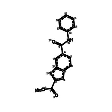 COC(=O)c1cc2ccc(C(=O)Nc3ccccc3)cc2s1